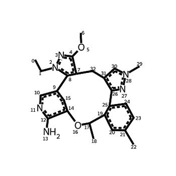 CCn1nc(OC)c2c1-c1cnc(N)c(c1)OC(C)c1cc(C)ccc1-c1nn(C)cc1C2